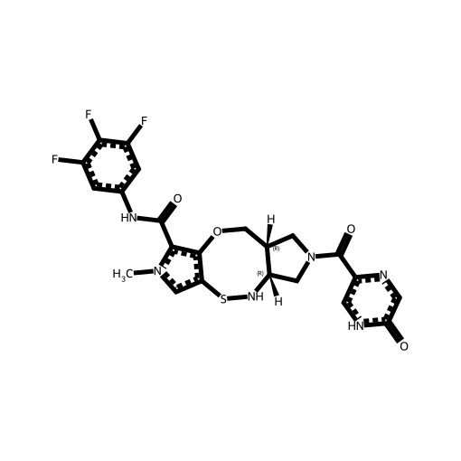 Cn1cc2c(c1C(=O)Nc1cc(F)c(F)c(F)c1)OC[C@@H]1CN(C(=O)c3c[nH]c(=O)cn3)C[C@@H]1NS2